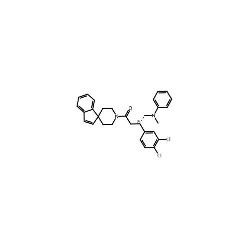 CN(C[C@@H](CC(=O)N1CCC2(C=Cc3ccccc32)CC1)c1ccc(Cl)c(Cl)c1)c1ccccc1